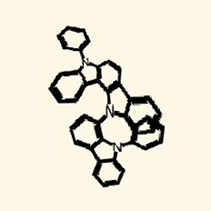 c1ccc(-n2c3ccccc3c3c2ccc2c4ccccc4n(-c4cccc5c6ccccc6n(-c6ccccc6)c45)c23)cc1